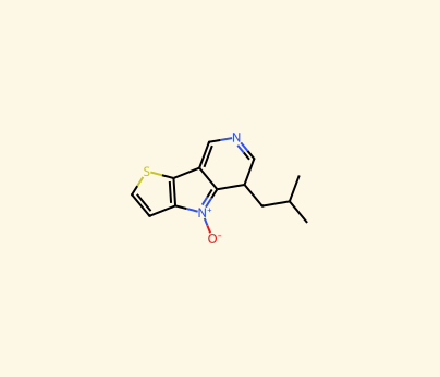 CC(C)CC1C=NC=C2C1=[N+]([O-])c1ccsc12